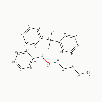 CC(C)(c1ccccc1)c1ccccc1.ClCCCCOCc1ccccc1